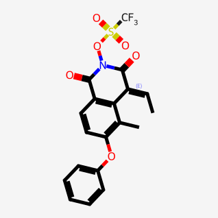 C/C=C1/C(=O)N(OS(=O)(=O)C(F)(F)F)C(=O)c2ccc(Oc3ccccc3)c(C)c21